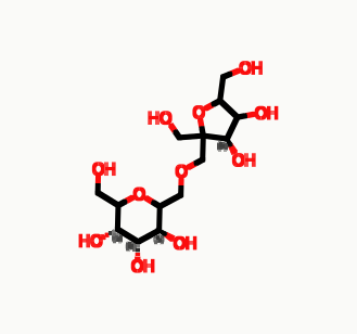 OCC1OC(CO)(COCC2OC(CO)[C@@H](O)[C@@H](O)[C@@H]2O)[C@H](O)C1O